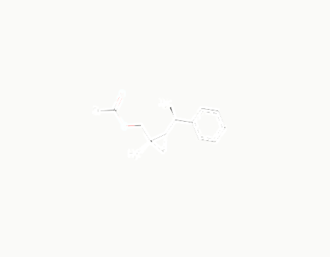 CCC(=O)OC[C@]1(C)C[C@H]1[C@@H](C)c1ccccc1